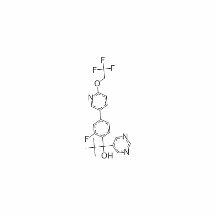 CC(C)(C)C(O)(c1cncnc1)c1ccc(-c2ccc(OCC(F)(F)F)nc2)cc1F